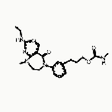 CCNc1ncc2c(n1)N(C)CCN(c1cccc(CCCOC(=O)NC)c1)C2=O